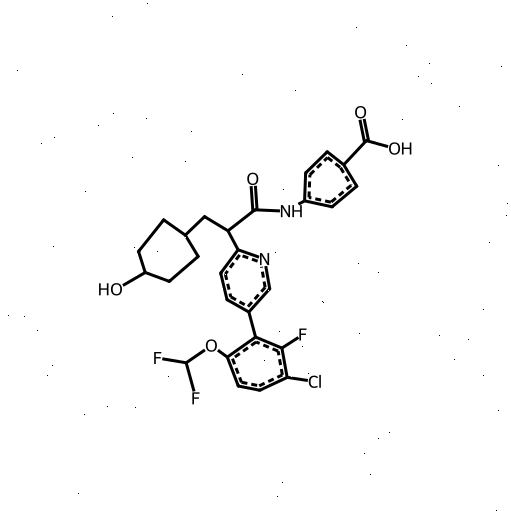 O=C(O)c1ccc(NC(=O)C(CC2CCC(O)CC2)c2ccc(-c3c(OC(F)F)ccc(Cl)c3F)cn2)cc1